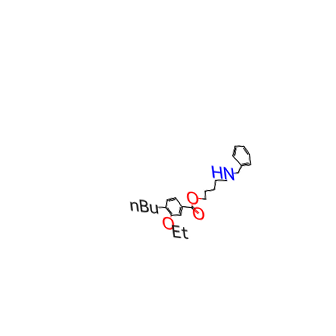 CCCCc1ccc(C(=O)OCCCCCNCc2ccccc2)cc1OCC